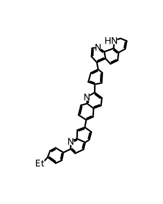 CCc1ccc(-c2ccc3ccc(-c4ccc5nc(-c6ccc(-c7ccnc8c9c(ccc78)C=CCN9)cc6)ccc5c4)cc3n2)cc1